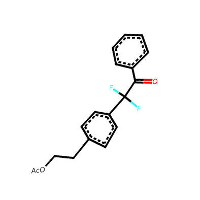 CC(=O)OCCc1ccc(C(F)(F)C(=O)c2ccccc2)cc1